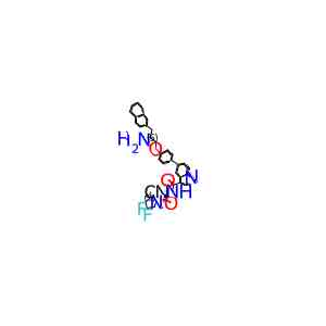 N#C[C@@H]1CC(F)(F)CN1C(=O)CNC(=O)c1ccnc2ccc(-c3ccc(OC[C@@H](N)Cc4ccc5ccccc5c4)cc3)cc12